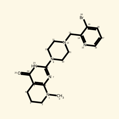 CN1CCCc2c1nc(N1CCN(Cc3ncccc3Br)CC1)[nH]c2=O